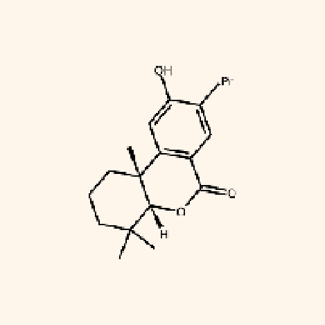 CC(C)c1cc2c(cc1O)[C@@]1(C)CCCC(C)(C)[C@H]1OC2=O